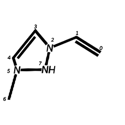 C=CN1C=CN(C)N1